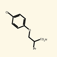 CC(C)C(COc1ccc(Cl)cc1)C(=O)O